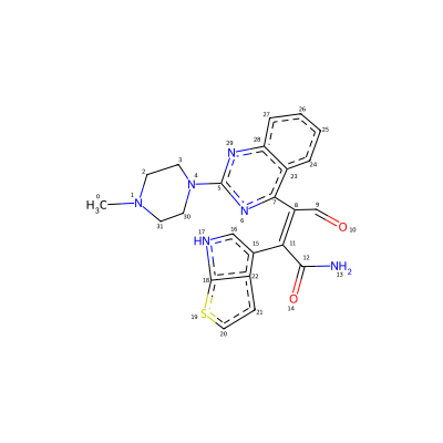 CN1CCN(c2nc(/C(C=O)=C(/C(N)=O)c3c[nH]c4sccc34)c3ccccc3n2)CC1